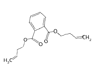 C=CCCOC(=O)c1ccccc1C(=O)OCCC=C